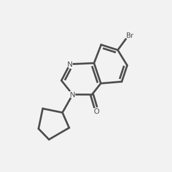 O=c1c2ccc(Br)cc2ncn1C1CCCC1